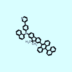 CC1(C)c2cc(-c3c4ccccc4c(-c4cccc5ccccc45)c4ccccc34)ccc2-c2ccc(N(c3ccc(-c4cccnc4)cc3)c3cccc4ccccc34)cc21